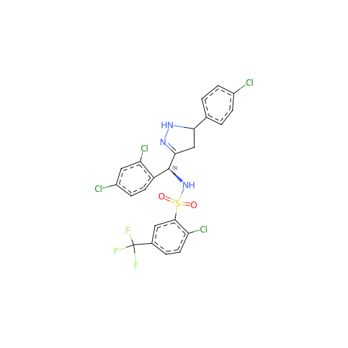 O=S(=O)(N[C@H](C1=NNC(c2ccc(Cl)cc2)C1)c1ccc(Cl)cc1Cl)c1cc(C(F)(F)F)ccc1Cl